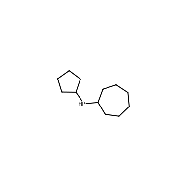 C1CCCC(PC2CCCC2)CC1